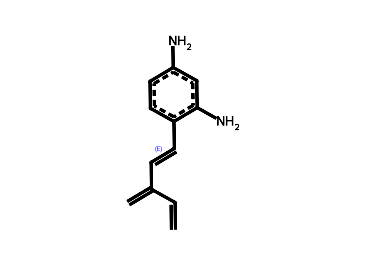 C=CC(=C)/C=C/c1ccc(N)cc1N